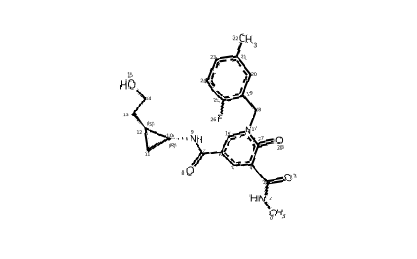 CNC(=O)c1cc(C(=O)N[C@@H]2C[C@H]2CCO)cn(Cc2cc(C)ccc2F)c1=O